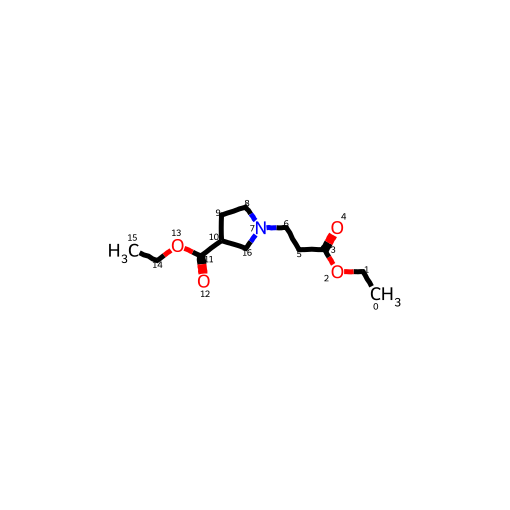 CCOC(=O)CCN1CCC(C(=O)OCC)C1